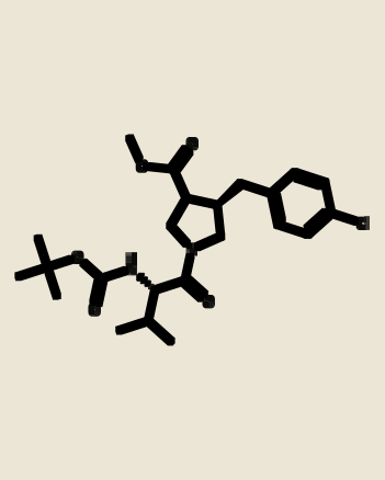 COC(=O)C1CN(C(=O)[C@@H](NC(=O)OC(C)(C)C)C(C)C)C[C@@H]1Cc1ccc(Cl)cc1